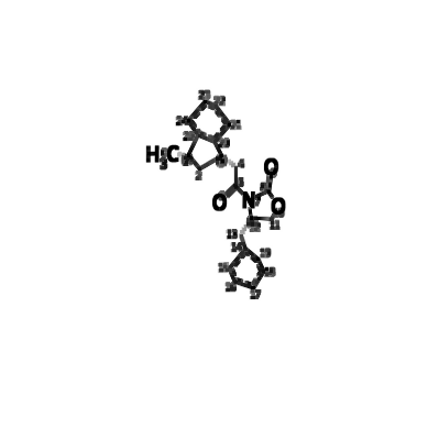 C[C@H]1C[C@@H](CC(=O)N2C(=O)OC[C@@H]2Cc2ccccc2)c2ccccc21